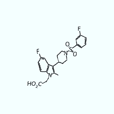 Cc1c(C2CCN(S(=O)(=O)c3cccc(F)c3)CC2)c2cc(F)ccc2n1CC(=O)O